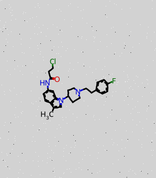 Cc1cn(C2CCN(CCc3ccc(F)cc3)CC2)c2cc(NC(=O)CCCl)ccc12